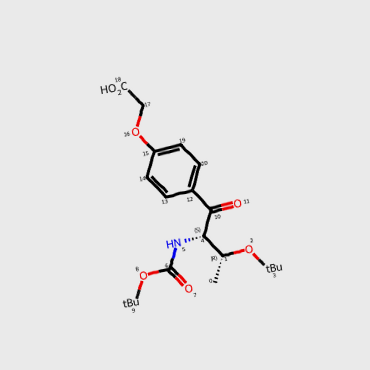 C[C@@H](OC(C)(C)C)[C@H](NC(=O)OC(C)(C)C)C(=O)c1ccc(OCC(=O)O)cc1